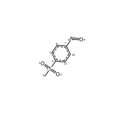 CS(=O)(=O)c1ccc(N=O)cc1